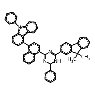 CC1(C)c2ccccc2-c2ccc(C3=NC(c4ccc(-c5cccc6c5c5ccccc5n6-c5ccccc5)c5ccccc45)=NC(c4ccccc4)N3)cc21